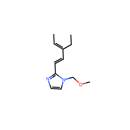 CC=C(C=Cc1nccn1COC)CC